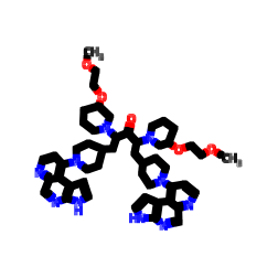 COCCOC1CCCN(C(CC2CCN(c3ccnc4cnc5[nH]ccc5c34)CC2)C(=O)C(CC2CCN(c3ccnc4cnc5[nH]ccc5c34)CC2)N2CCCC(OCCOC)C2)C1